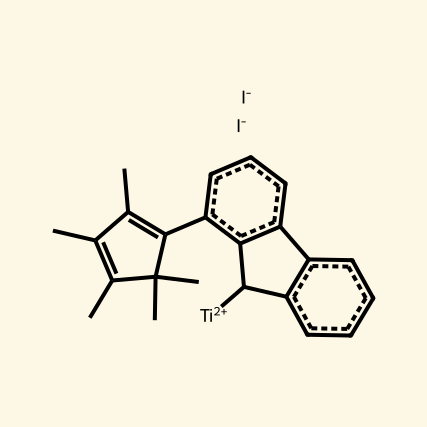 CC1=C(C)C(C)(C)C(c2cccc3c2[CH]([Ti+2])c2ccccc2-3)=C1C.[I-].[I-]